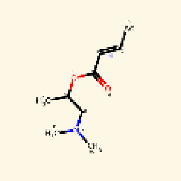 CC(=O)/C=C/C(=O)OC(C)CN(C)C